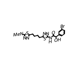 CNc1nnc(CCCCc2nnc(NC(=O)C(O)c3cccc(Br)c3)s2)s1